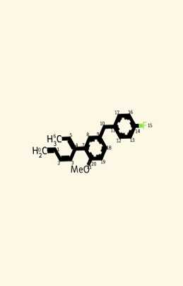 C=C/C=C\C(=C/C)c1cc(Cc2ccc(F)cc2)ccc1OC